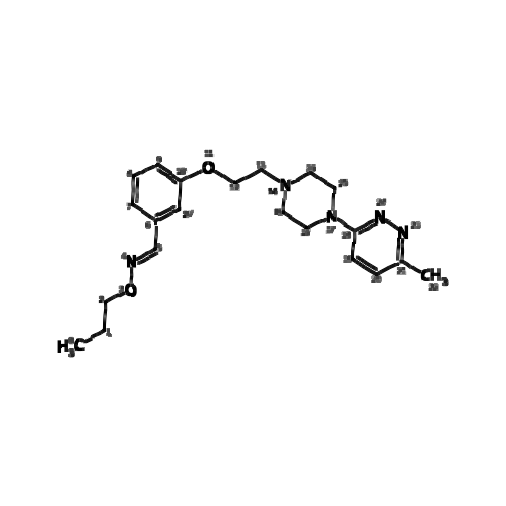 CCCON=Cc1cccc(OCCN2CCN(c3ccc(C)nn3)CC2)c1